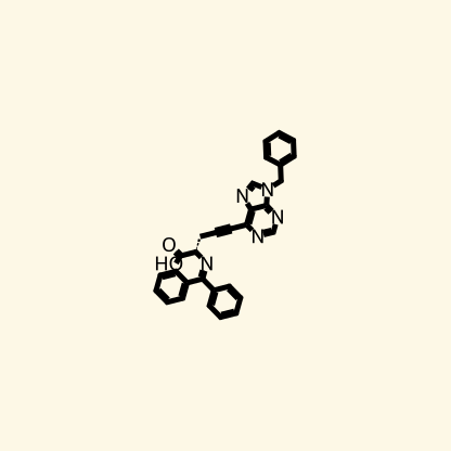 O=C(O)[C@H](CC#Cc1ncnc2c1ncn2Cc1ccccc1)N=C(c1ccccc1)c1ccccc1